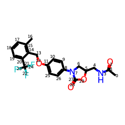 CC(=O)NCC1CN(c2ccc(OCc3c(C)cccc3C(F)(F)F)cc2)C(=O)O1